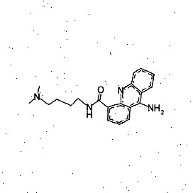 CN(C)CCCCNC(=O)c1cccc2c(N)c3ccccc3nc12